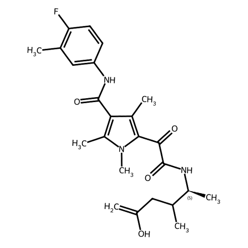 C=C(O)CC(C)[C@H](C)NC(=O)C(=O)c1c(C)c(C(=O)Nc2ccc(F)c(C)c2)c(C)n1C